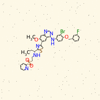 CCC(NCCS(=O)(=O)c1ccccn1)c1nc(-c2cc3c(Nc4ccc(OCc5cccc(F)c5)c(Br)c4)ncnc3cc2OC)cs1